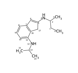 CCC(C)NC1=Cc2cccc(NC(C)C)c2C1